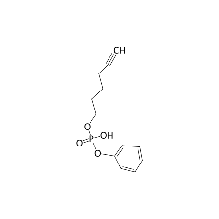 C#CCCCCOP(=O)(O)Oc1ccccc1